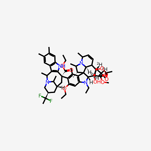 [2H]C([2H])(C)C([2H])([2H])[C@]12C=CC(C)N3C(C)[C@@H](C)C4(c5c(cc(OCC)c([C@@]6(C(=O)OCC)C[C@@H]7C[C@@H](C(C)(F)F)CN(C(C)c8c6[nH]c6cc(C)c(C)cc86)C7C)c5C)N(CC)[C@H]4[C@@](O)(C(=O)OC)[C@@H]1OC(C)=O)[C@@H]32